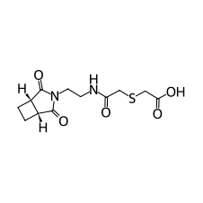 O=C(O)CSCC(=O)NCCN1C(=O)[C@H]2CC[C@H]2C1=O